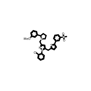 COc1cccc(C2CCCN2Cc2cc(Cc3ccc(-c4cccc(S(C)(=O)=O)c4)s3)n(-c3ccccc3Cl)n2)c1